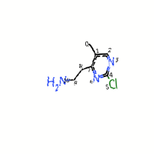 Cc1cnc(Cl)nc1CCN